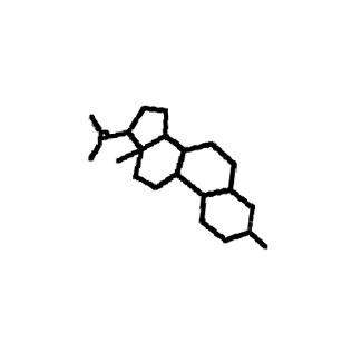 CC1CCC2C(CCC3C2CCC2(C)C3CCC2P(C)C)C1